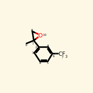 CC1(c2cccc(C(F)(F)F)c2)CO1